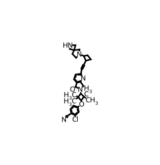 CC1(C)[C@H](Oc2ccc(C#N)c(Cl)c2)C(C)(C)[C@H]1N1Cc2nc(C#CC3CCC3N3CCC4(CNC4)C3)ccc2C1=O